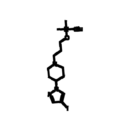 CC(C)(C)[Si](C)(C)OCCCN1CCC(n2cc(I)cn2)CC1